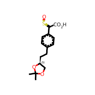 CC1(C)OC[C@H](CCc2ccc(C(=S=O)C(=O)O)cc2)O1